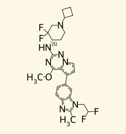 COc1nc(N[C@H]2CCN(C3CCC3)CC2(F)F)nn2ccc(-c3ccc4nc(C)n(CC(F)F)c4c3)c12